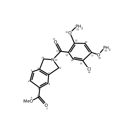 COC(=O)c1ccc2c(c1)CN(C(=O)c1cc(Cl)c(OP)cc1OP)C2